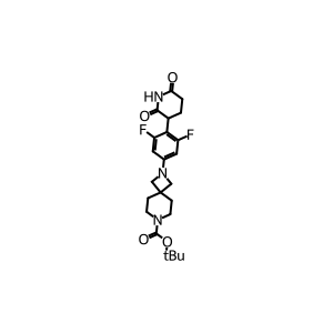 CC(C)(C)OC(=O)N1CCC2(CC1)CN(c1cc(F)c(C3CCC(=O)NC3=O)c(F)c1)C2